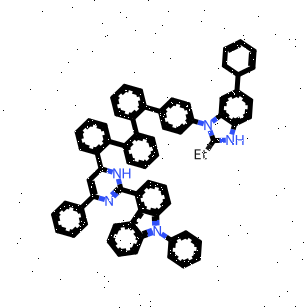 CCC1Nc2ccc(C3C=CC=CC3)cc2N1c1ccc(-c2ccccc2-c2ccccc2-c2ccccc2C2C=C(c3ccccc3)N=C(c3cccc4c3c3ccccc3n4-c3ccccc3)N2)cc1